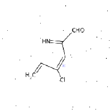 C=C/C(Cl)=C\C(=N)C=O